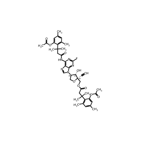 C#C[C@]1(COC(=O)CC(C)(C)c2c(C)cc(C)cc2OC(C)=O)OC[C@@H](n2cnc3c(NC(=O)CC(C)(C)c4c(C)cc(C)cc4OC(C)=O)nc(F)nc32)[C@@H]1O